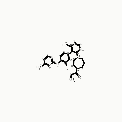 C=CC(=O)N1CCCN(c2ncnc(N)c2-c2ccc(Oc3nccc(C)n3)c(F)c2)CC1